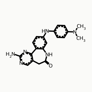 CN(C)c1ccc(Nc2ccc3c(c2)NC(=O)Cc2cnc(N)nc2-3)cc1